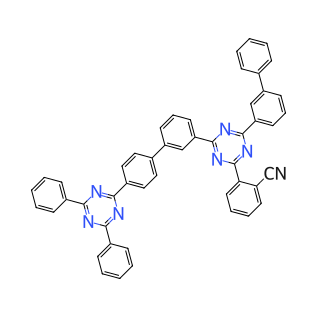 N#Cc1ccccc1-c1nc(-c2cccc(-c3ccccc3)c2)nc(-c2cccc(-c3ccc(-c4nc(-c5ccccc5)nc(-c5ccccc5)n4)cc3)c2)n1